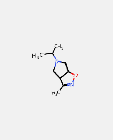 CC1=NOC2CN(C(C)C)CC12